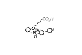 CCC(C)N(Cc1ccccc1OCCCCCC(=O)O)C(=O)c1ccc(-c2ccncc2)cc1